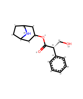 O=C(OC1CC2CCC(C1)N2)[C@H](CO)c1ccccc1